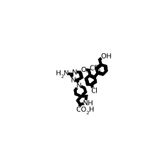 Nc1nc(O[C@H](c2ccc(Cl)cc2-c2cccc(CO)c2)C(F)(F)F)cc(N2CCC3(CC2)CNC(C(=O)O)C3)n1